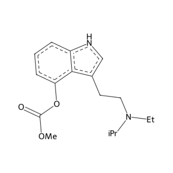 CCN(CCc1c[nH]c2cccc(OC(=O)OC)c12)C(C)C